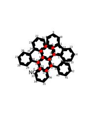 N#Cc1ccc(-n2c3ccccc3c3ccccc32)c(-c2ccccc2-c2ccccc2-c2c3ccccc3c(-c3ccccc3)c3ccccc23)c1